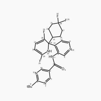 CC(C)(C)c1ncc(C(=O)Nc2cnccc2C2(C3CCC(F)(F)CC3)NC(F)=CC=C2F)cn1